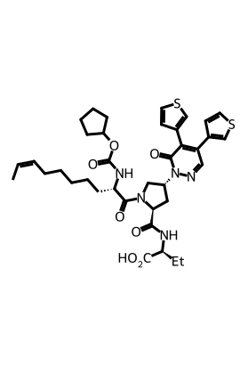 C/C=C\CCCCC[C@H](NC(=O)OC1CCCC1)C(=O)N1C[C@H](n2ncc(-c3ccsc3)c(-c3ccsc3)c2=O)C[C@H]1C(=O)N[C@@H](CC)C(=O)O